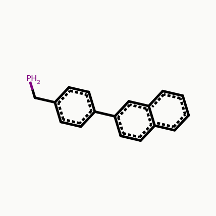 PCc1ccc(-c2ccc3ccccc3c2)cc1